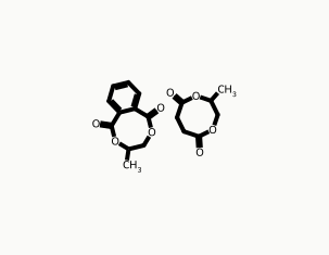 CC1COC(=O)CCC(=O)O1.CC1COC(=O)c2ccccc2C(=O)O1